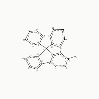 C[n+]1ccc2c(c1)C(c1ccccc1)(c1ccccc1)c1cnccc1-2